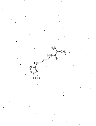 CC(N)C(=O)NCCCNc1ncc(C=O)s1